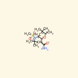 CC(OC(CC(N)=O)CN(C(C)(C)C)S(C)(=O)=O)C(C)(C)C